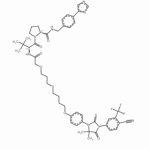 CC(C)(C)[C@H](NC(=O)COCCCOCCCCOc1ccc(N2C(=S)N(c3ccc(C#N)c(C(F)(F)F)c3)C(=O)C2(C)C)cc1)C(=O)N1CCC[C@H]1C(=O)NCc1ccc(-c2cncs2)cc1